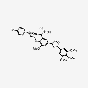 C#CC(c1cc(C2COC(c3cc(OC)c(OC)c(OC)c3)C2)cc(OC)c1OCCSc1ccc(Br)cc1)N(O)C(C)=O